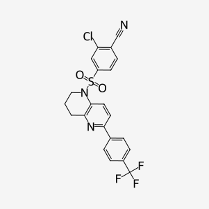 N#Cc1ccc(S(=O)(=O)N2CCCc3nc(-c4ccc(C(F)(F)F)cc4)ccc32)cc1Cl